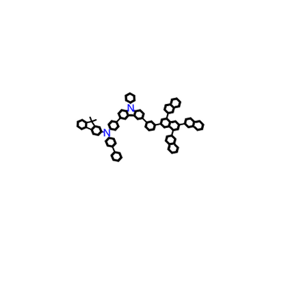 CC1(C)c2ccccc2-c2ccc(N(c3ccc(-c4ccccc4)cc3)c3ccc(-c4ccc5c(c4)c4cc(-c6cccc(-c7cc(-c8ccc9ccccc9c8)c8cc(-c9ccc%10ccccc%10c9)cc(-c9ccc%10ccccc%10c9)c8c7)c6)ccc4n5-c4ccccc4)cc3)cc21